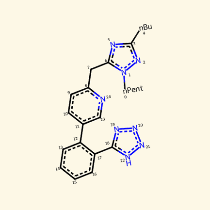 CCCCCn1nc(CCCC)nc1Cc1ccc(-c2ccccc2-c2nnn[nH]2)cn1